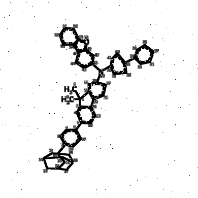 CC1(C)c2cc(-c3ccc(C45CC6CC(CC(C6)C4)C5)cc3)ccc2-c2ccc(N(c3ccc(-c4ccccc4)cc3)c3ccc4c(c3)oc3ccccc34)cc21